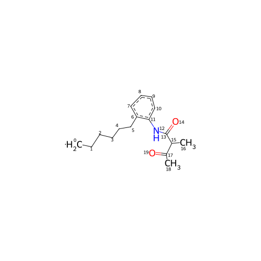 [CH2]CCCCCc1ccccc1NC(=O)C(C)C(C)=O